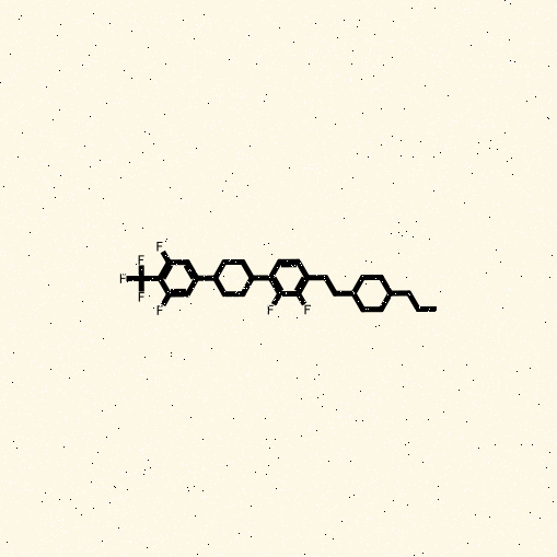 CCCC1CCC(CCc2ccc(C3CCC(c4cc(F)c(C(F)(F)F)c(F)c4)CC3)c(F)c2F)CC1